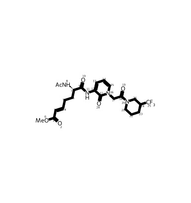 COC(=O)/C=C/CC[C@H](NC(C)=O)C(=O)Nc1cccn(CC(=O)N2CCCC(C(F)(F)F)C2)c1=O